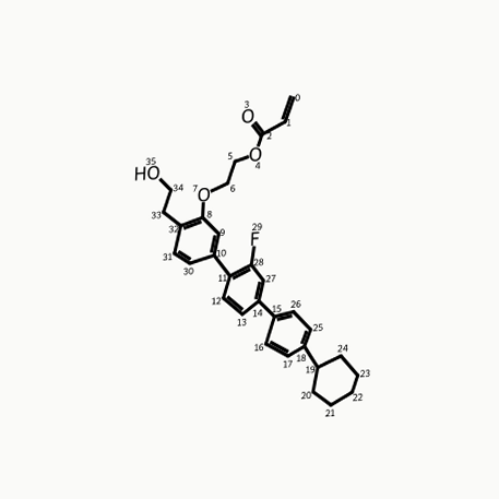 C=CC(=O)OCCOc1cc(-c2ccc(-c3ccc(C4CCCCC4)cc3)cc2F)ccc1CCO